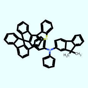 CC1(C)c2ccccc2-c2ccc(N(c3ccccc3)c3cccc(-c4cccc5c4C4(c6ccccc6-5)c5ccccc5-c5c4ccc4sc6ccccc6c54)c3)cc21